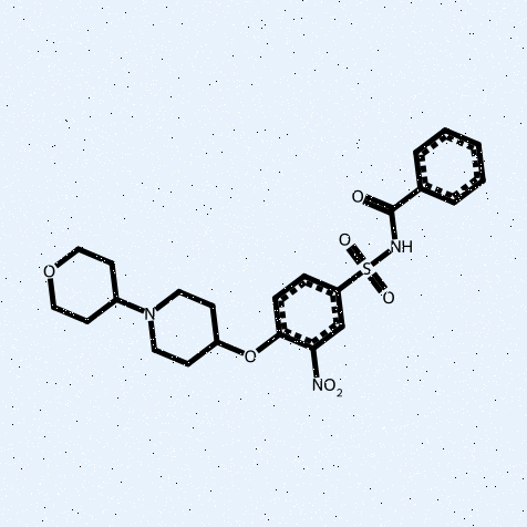 O=C(NS(=O)(=O)c1ccc(OC2CCN(C3CCOCC3)CC2)c([N+](=O)[O-])c1)c1ccccc1